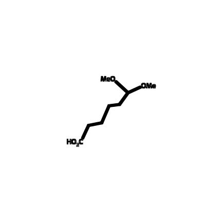 COC(CCCCC(=O)O)OC